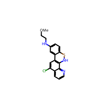 COCCNc1ccc2c(c1)-c1cc(Cl)c3cccnc3c1NS2